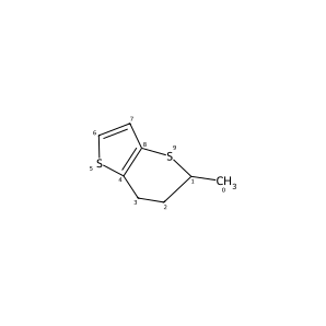 CC1CCc2sccc2S1